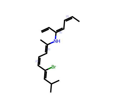 C=C/C(=C\C=C/C)N/C(C)=C/C=C\C(Br)=CC(C)C